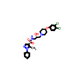 Cc1c(S(=O)(=O)NC[C@H](O)CN2CCC(Oc3ccc(Cl)c(Cl)c3)CC2)cnn1-c1ccccc1